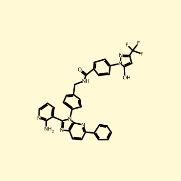 Nc1ncccc1-c1nc2ccc(-c3ccccc3)nc2n1-c1ccc(CNC(=O)c2ccc(-n3nc(C(F)(F)F)cc3O)cc2)cc1